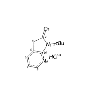 CC(C)(C)N1C(=O)Cc2cccnc21.Cl